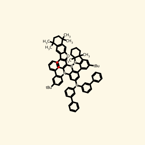 CC(C)(C)c1ccc(N2c3cc(N(c4cccc(-c5ccccc5)c4)c4cccc(-c5ccccc5)c4)cc4c3B(c3c2ccc2c3oc3cc5c(cc32)C(C)(C)CCC5(C)C)N2c3c-4cc(C(C)(C)C)cc3C3(C)CCCCC23C)c(-c2ccccc2)c1